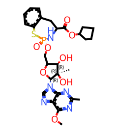 COc1nc(C)nc2c1ncn2[C@@H]1OC(COP2(=O)NC(C(=O)OC3CCCC3)Cc3ccccc3S2)[C@@H](O)[C@@]1(C)O